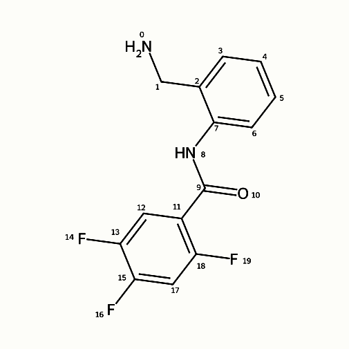 NCc1ccccc1NC(=O)c1cc(F)c(F)cc1F